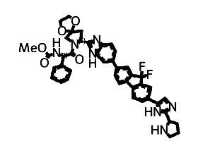 COC(=O)N[C@@H](C(=O)N1CC2(C[C@H]1c1nc3ccc(-c4ccc5c(c4)C(F)(F)c4cc(-c6cnc(C7CCCN7)[nH]6)ccc4-5)cc3[nH]1)OCCO2)c1ccccc1